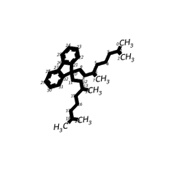 CC(C)CCCC(C)CCC1(CCC(C)CCCC(C)C)c2c[c]ccc2-c2cc[c]cc21